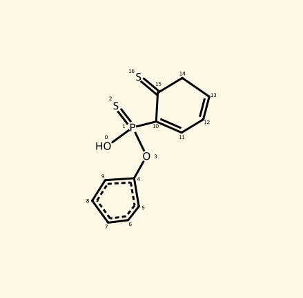 OP(=S)(Oc1ccccc1)C1=CC=CCC1=S